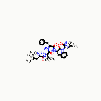 CN[C@H](CC(C)C)C(=O)N[C@@H](C(=O)N[C@H](Cc1ccccc1)C(=O)N[C@H](Cc1ccccc1)C(=O)N[C@H](CC(C)C)C(N)=O)C(C)C